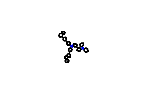 c1ccc(-n2c3ccccc3c3c(-c4cccc(N(c5ccc(-c6ccc(-c7cccc8ccccc78)cc6)cc5)c5ccc(-c6ccc7c(ccc8ccccc87)c6)cc5)c4)cccc32)cc1